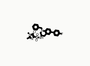 Cc1nc(S(=O)(=O)NC2Cc3cc(-c4ccc(F)cc4)ccc3N(Cc3ccccc3)C2)c(Cl)n1C